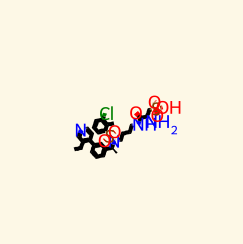 CCc1cnccc1-c1cccc([C@H](C)N(CCCCNC(=O)[C@@H](N)CS(=O)(=O)O)S(=O)(=O)c2cccc(Cl)c2C)c1